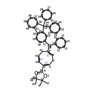 CC1(C)OB(C2=C/C/C=C(/N(c3ccccc3)c3ccc4c(c3)C(c3ccccc3)(c3ccccc3)c3ccccc3-4)C/C=C\2)OC1(C)C